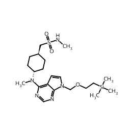 CNS(=O)(=O)C[C@H]1CC[C@H](N(C)c2ncnc3c2ccn3COCC[Si](C)(C)C)CC1